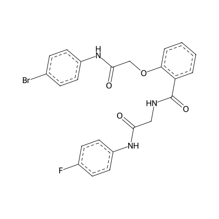 O=C(CNC(=O)c1ccccc1OCC(=O)Nc1ccc(Br)cc1)Nc1ccc(F)cc1